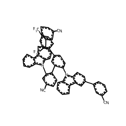 N#Cc1cccc(-c2ccc3c(c2)c2ccccc2n3-c2ccc(-c3ccc(C(F)(F)F)cc3C(F)(F)F)cc2-c2ccc(C#N)cc2-n2c3ccccc3c3cc(-c4cccc(C#N)c4)ccc32)c1